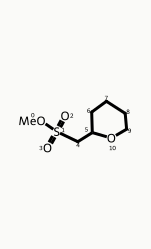 COS(=O)(=O)CC1CCCCO1